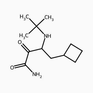 CC(C)(C)NC(CC1CCC1)C(=O)C(N)=O